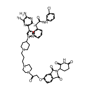 [2H]c1nc(-c2cnn(C3CCN(CCCN4CCN(C(=O)COc5ccc6c(c5)C(=O)N(C5CCC(=O)NC5=O)C6=O)CC4)CC3)c2)c([C@H](C(=O)Nc2cccc(Cl)c2)c2ccccc2)nc1N